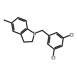 Cc1ccc2c(c1)CCN2Cc1cc(Cl)cc(Cl)c1